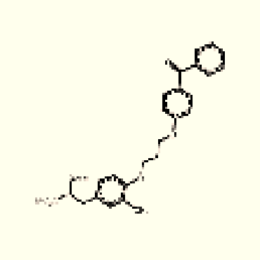 CCOC(=O)[C@H](Cc1ccc(OCCCOc2ccc(C(=O)c3ccccc3)cc2)c(C)c1)OC